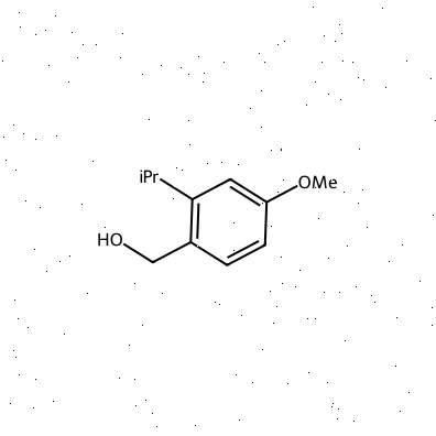 COc1ccc(CO)c(C(C)C)c1